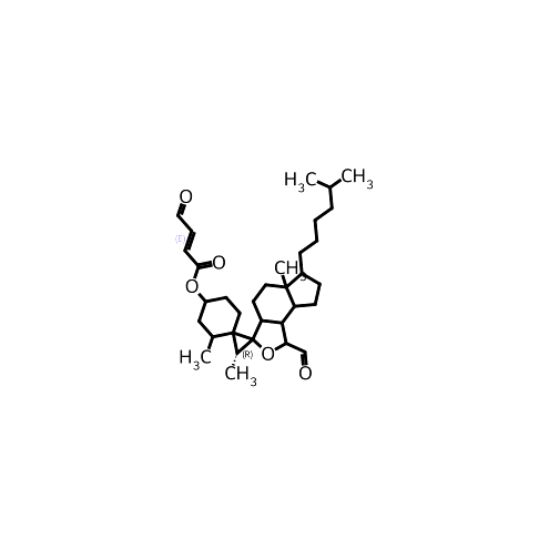 CC(C)CCCCC1CCC2C3C(C=O)OC4(C3CCC12C)[C@H](C)C41CCC(OC(=O)/C=C/C=O)CC1C